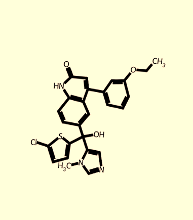 CCOc1cccc(-c2cc(=O)[nH]c3ccc(C(O)(c4ccc(Cl)s4)c4cncn4C)cc23)c1